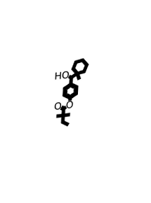 CCC(C)(C)C(=O)Oc1ccc(C(O)C2(C)CCCCC2)cc1